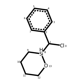 ClC(c1ccccc1)[SiH]1CCCCO1